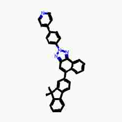 CC1(C)c2ccccc2-c2ccc(-c3cc4nn(-c5ccc(-c6ccncc6)cc5)nc4c4ccccc34)cc21